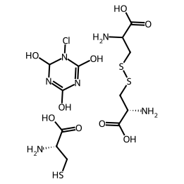 NC(CSSC[C@H](N)C(=O)O)C(=O)O.N[C@@H](CS)C(=O)O.OC1=NC(O)N(Cl)C(O)=N1